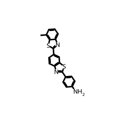 Cc1cccc2nc(-c3ccc4nc(-c5ccc(N)cc5)sc4c3)sc12